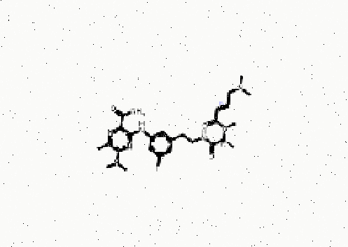 Cc1nc(C(N)=O)c(Nc2cc(F)cc(CCNC(=O)[C@H](C)N(C)C(=O)/C=C/CN(C)C)c2)nc1N(C)C